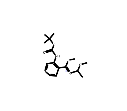 COC(C)/N=C(\SC)c1ccncc1NC(=O)OC(C)(C)C